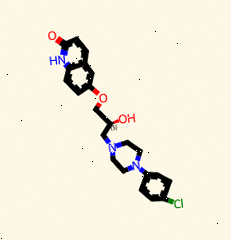 O=c1ccc2cc(OC[C@@H](O)CN3CCN(c4ccc(Cl)cc4)CC3)ccc2[nH]1